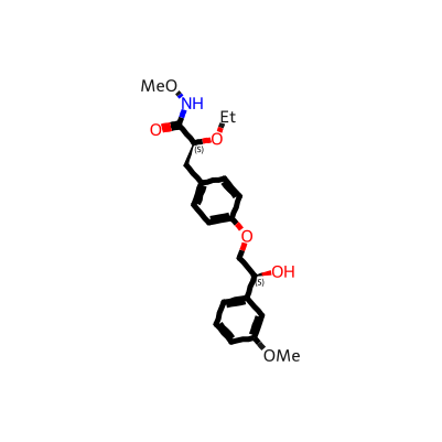 CCO[C@@H](Cc1ccc(OC[C@@H](O)c2cccc(OC)c2)cc1)C(=O)NOC